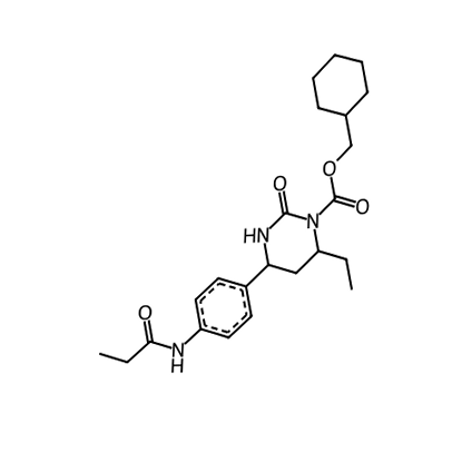 CCC(=O)Nc1ccc(C2CC(CC)N(C(=O)OCC3CCCCC3)C(=O)N2)cc1